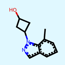 Cc1cccc2cnn(C3CC(O)C3)c12